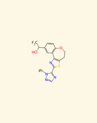 CC(C)n1ncnc1-c1nc2c(s1)CCOc1ccc(C(O)C(F)(F)F)cc1-2